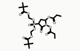 CCC(=O)OC1CC(P(=O)(OCOC(=O)C(C)(C)C)OCOC(=O)C(C)(C)C)C(=O)N1OC(=O)CC